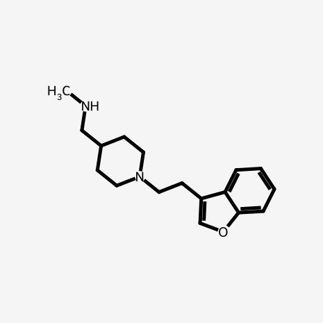 CNCC1CCN(CCc2coc3ccccc23)CC1